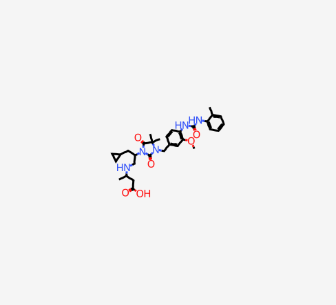 COc1cc(CN2C(=O)N(C(CNC(C)CC(=O)O)CC3CC3)C(=O)C2(C)C)ccc1NC(=O)Nc1ccccc1C